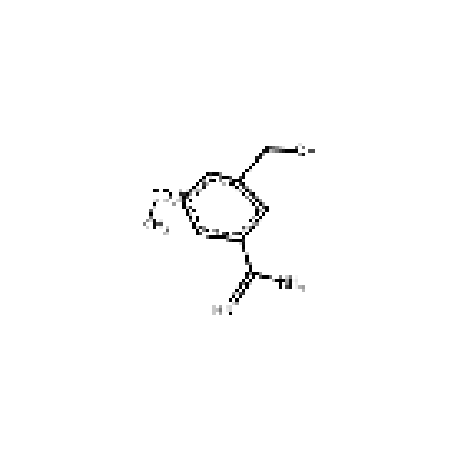 CC(=O)O.N=C(N)c1cccc(CO)c1